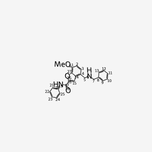 COc1ccc(CNCc2ccccc2)c2cc(C(=O)Nc3ccccc3)oc12